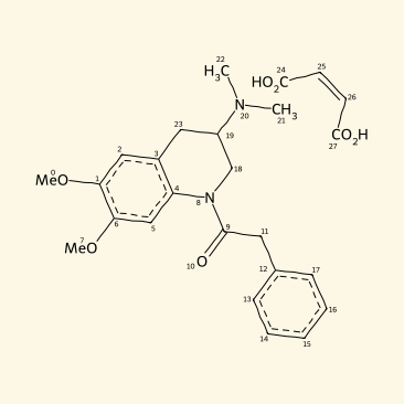 COc1cc2c(cc1OC)N(C(=O)Cc1ccccc1)CC(N(C)C)C2.O=C(O)/C=C\C(=O)O